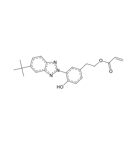 C=CC(=O)OCCc1ccc(O)c(-n2nc3ccc(C(C)(C)C)cc3n2)c1